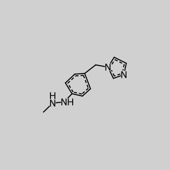 CNNc1ccc(Cn2ccnc2)cc1